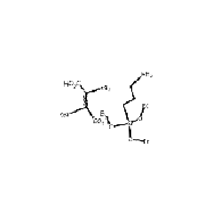 CCCCC(C(=O)O)=C(CCCC)C(=O)O.CCO[Si](CCCN)(OCC)OCC